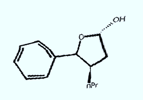 CCC[C@@H]1C[C@@H](O)OC1c1ccccc1